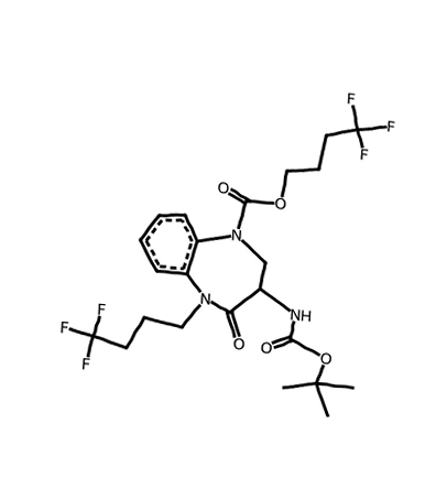 CC(C)(C)OC(=O)NC1CN(C(=O)OCCCC(F)(F)F)c2ccccc2N(CCCC(F)(F)F)C1=O